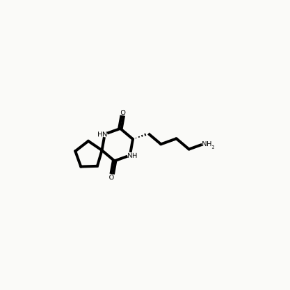 NCCCC[C@@H]1NC(=O)C2(CCCC2)NC1=O